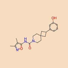 Cc1noc(NC(=O)N2CCC3(CC2)CC(c2cccc(O)c2)C3)c1C